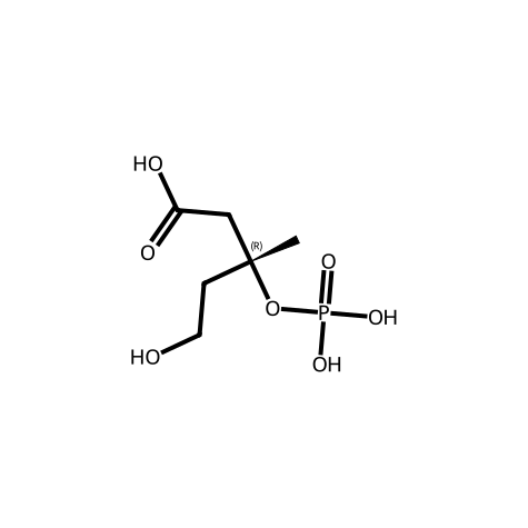 C[C@@](CCO)(CC(=O)O)OP(=O)(O)O